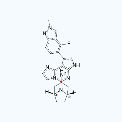 Cn1cc2c(F)c(-c3c[nH]c4nc(N5[C@@H]6CC[C@H]5CC(N)C6)n5ccnc5c34)ccc2n1